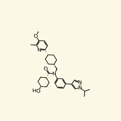 COc1ccc([C@H]2CC[C@H](CN(c3cccc(-c4cnn(C(C)C)c4)c3)C(=O)[C@H]3CC[C@H](O)CC3)CC2)nc1C